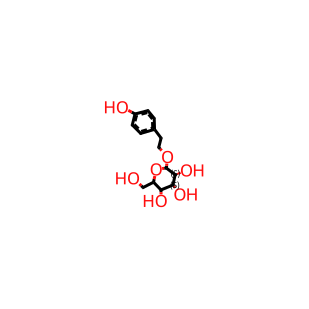 OCC1OC(OCCc2ccc(O)cc2)[C@@H](O)[C@@H](O)C1O